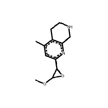 COC1OC1c1cc(C)c2c(n1)CNCC2